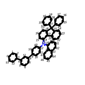 c1ccc(-c2cccc(-c3ccc(N(c4cccc5c4-c4ccccc4C5(c4ccccc4)c4ccccc4)c4cccc5ccccc45)cc3)c2)cc1